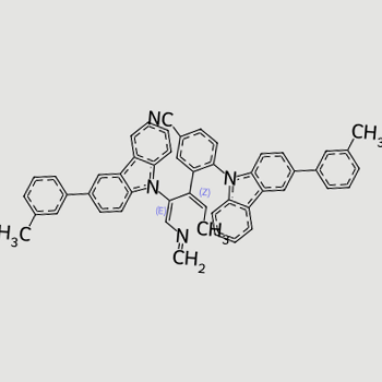 C=N/C=C(\C(=C/C)c1cc(C#N)ccc1-n1c2ccccc2c2cc(-c3cccc(C)c3)ccc21)n1c2ccccc2c2cc(-c3cccc(C)c3)ccc21